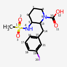 CS(=O)(=O)NC1CCCN(C(=O)O)C1Cc1cccc(I)c1